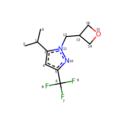 CC(C)c1cc(C(F)(F)F)nn1CC1COC1